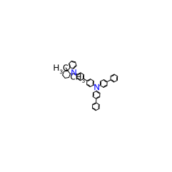 CC12CCCCC1(C)N(c1ccc(-c3ccc(N(c4ccc(-c5ccccc5)cc4)c4ccc(-c5ccccc5)cc4)cc3)cc1)c1ccccc12